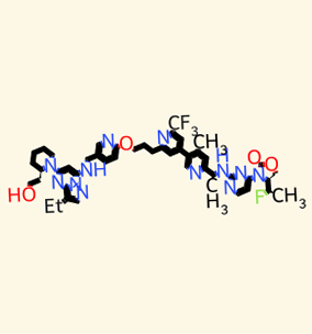 CCc1cnn2c(NCc3ccc(OCCCc4cc(-c5cnc([C@H](C)Nc6nccc(N7C(=O)OC[C@@H]7[C@H](C)F)n6)cc5C)cc(C(F)(F)F)n4)nc3)cc(N3CCCC[C@H]3CCO)nc12